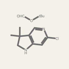 CC(C)(C)OC=O.CC1(C)CNc2cc(Cl)ncc21